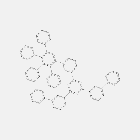 c1ccc(-c2cccc(-c3nc(-c4cccc(-c5ccccc5)c4)nc(-c4cccc(-c5cc(-c6ccccc6)c(-c6ccccc6)c(-c6ccccc6)c5-c5ccccc5)c4)n3)c2)cc1